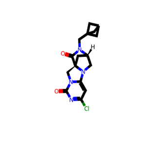 O=C1N(CC23CC(C2)C3)[C@@H]2CN3c4cc(Cl)nc(=O)n4C[C@]13C2